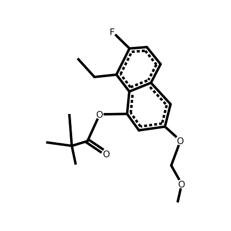 CCc1c(F)ccc2cc(OCOC)cc(OC(=O)C(C)(C)C)c12